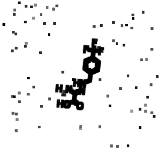 NC(=NNCc1ccc(C(F)(F)F)cc1)C(=O)O